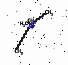 CCCCCCCCCCCCCC[n+]1ccn(CCCCCCCCC)c1C(C)C